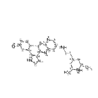 CC1CN(CCNc2cnc3ccc(-c4nc[nH]c4-c4cccc(Cl)c4)nc3c2)CC(C)N1